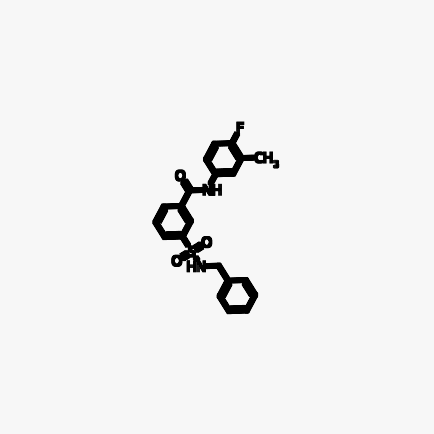 Cc1cc(NC(=O)c2cccc(S(=O)(=O)NCc3ccccc3)c2)ccc1F